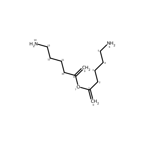 C=C(CCCCN)OC(=C)CCCCN